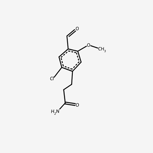 COc1cc(CCC(N)=O)c(Cl)cc1C=O